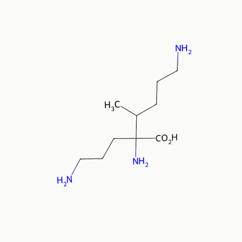 CC(CCCN)C(N)(CCCN)C(=O)O